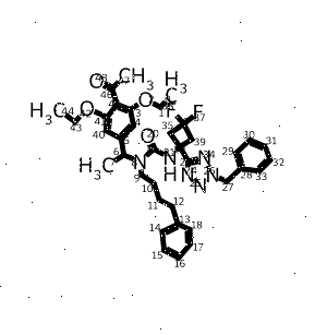 CCOc1cc(C(C)N(CCCCc2ccccc2)C(=O)NC2(c3nnn(Cc4ccccc4)n3)CC(F)(F)C2)cc(OCC)c1C(C)=O